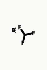 FC(F)F.[B]